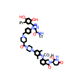 CCNC(=O)c1nnc(-c2cc(C(C)C)c(O)cc2O)n1-c1ccc(CN2CCC(C(=O)N3CCN(c4cc(C)c(N(C(=O)O)c5cccc6c5CN(C5CCC(=O)NC5=O)C6=O)c(C)c4)CC3)CC2)cc1